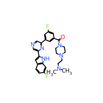 CN(C)CCN1CCN(C(=O)c2cc(F)cc(-c3cncc(-c4cc5ccc(F)cc5[nH]4)n3)c2)CC1